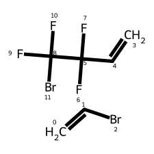 C=CBr.C=CC(F)(F)C(F)(F)Br